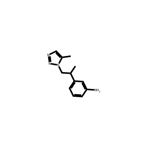 Cc1cnnn1CC(C)c1cccc(N)c1